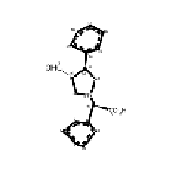 O=C[C@H]1CN([C@@H](C(=O)O)c2ccccc2)C[C@@H]1c1ccccc1